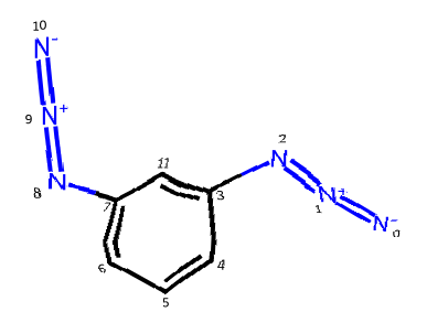 [N-]=[N+]=Nc1cccc(N=[N+]=[N-])c1